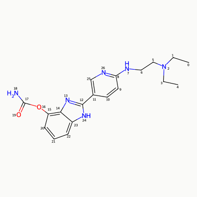 CCN(CC)CCNc1ccc(-c2nc3c(OC(N)=O)cccc3[nH]2)cn1